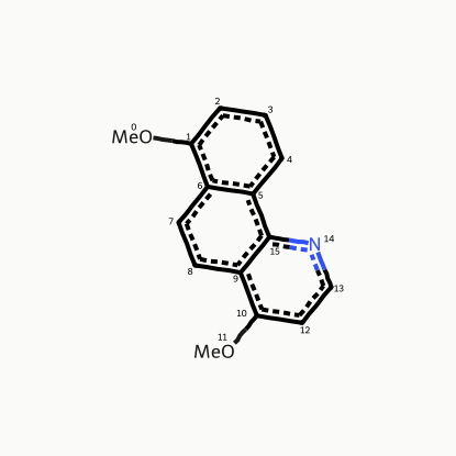 COc1cccc2c1ccc1c(OC)ccnc12